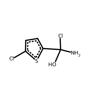 NC(O)(Cl)c1ccc(Cl)s1